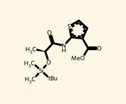 COC(=O)c1ccsc1NC(=O)[C@H](C)O[Si](C)(C)C(C)(C)C